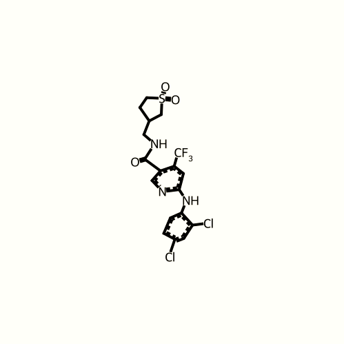 O=C(NCC1CCS(=O)(=O)C1)c1cnc(Nc2ccc(Cl)cc2Cl)cc1C(F)(F)F